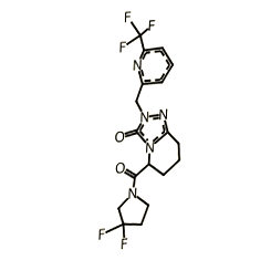 O=C(C1CCCc2nn(Cc3cccc(C(F)(F)F)n3)c(=O)n21)N1CCC(F)(F)C1